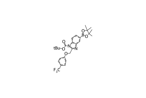 CC(C)(C)OC(=O)n1c(COc2ccc(C(F)(F)F)cc2)nc2cc(B3OC(C)(C)C(C)(C)O3)ccc21